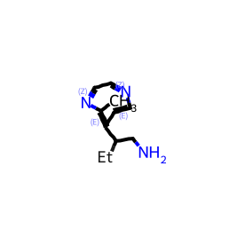 CCC(CN)C1=C(C)\N=C/C=N\C=C\1